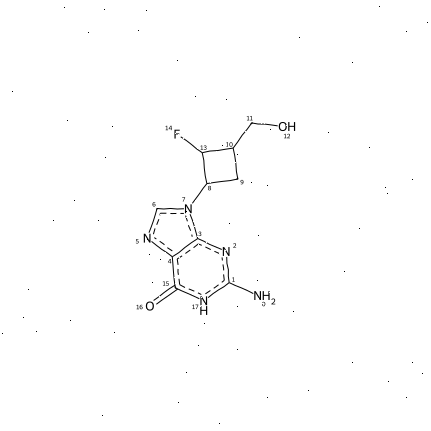 Nc1nc2c(ncn2C2CC(CO)C2F)c(=O)[nH]1